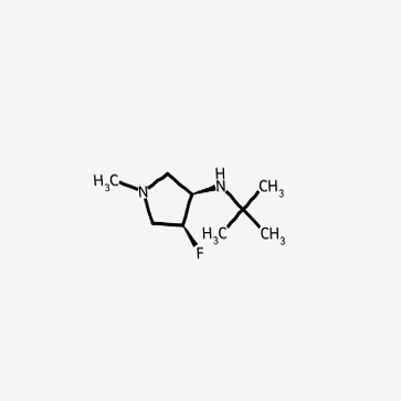 CN1C[C@H](F)[C@H](NC(C)(C)C)C1